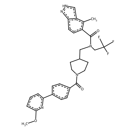 COc1cccc(-c2ccc(C(=O)N3CCC(CN(CC(F)(F)F)C(=O)c4ccc5n[nH]cc5c4C)CC3)cc2)n1